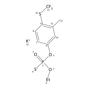 CCOP(=O)([S-])Oc1ccc(SC(F)(F)F)c(C)c1.[K+]